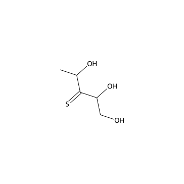 CC(O)C(=S)C(O)CO